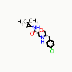 CC1(C)CC1NC(=O)[C@H]1CN[C@@H](Cc2ccc(Cl)cc2)CO1